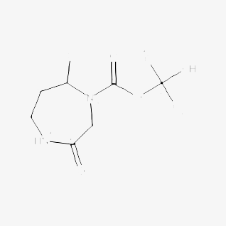 CC1CCNC(=O)CN1C(=O)OC(C)(C)C